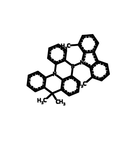 Cc1cccc2c3cccc(C)c3n(B3c4ccccc4N4c5ccccc5C(C)(C)c5cccc3c54)c12